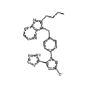 CCCCc1nc2cccnc2n1Cc1ccc(-n2cc(Br)cc2-c2nnn[nH]2)cc1